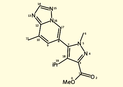 COC(=O)c1nn(C)c(-c2cc(C)c3ncnn3c2)c1C(C)C